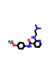 CN(C)CCNc1ncccc1C(=O)Nc1ccc(OC(F)(F)F)cc1